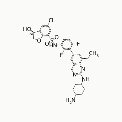 CCc1cc(-c2c(F)ccc(NS(=O)(=O)c3cc(Cl)cc4c3OC[C@H]4O)c2F)cc2cnc(NC3CCC(N)CC3)nc12